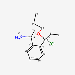 CCC[O][Sn]([Cl])([CH2]C)[c]1ccccc1C(C)N